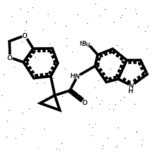 CC(C)(C)c1cc2cc[nH]c2cc1NC(=O)C1(c2ccc3c(c2)OCO3)CC1